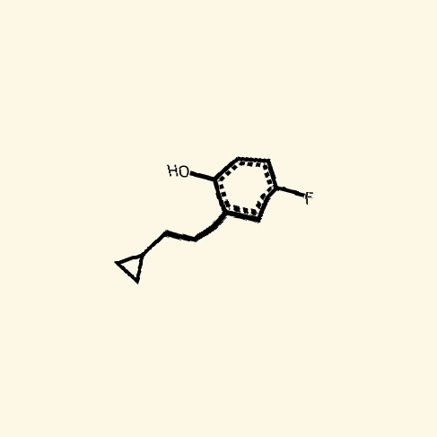 Oc1ccc(F)cc1CCC1CC1